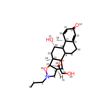 CCCN1C[C@@H]2CC3C4CCC5=CC(=O)C=C[C@]5(C)C4[C@@H](O)C[C@]3(C)[C@]2(C(=O)CO)O1